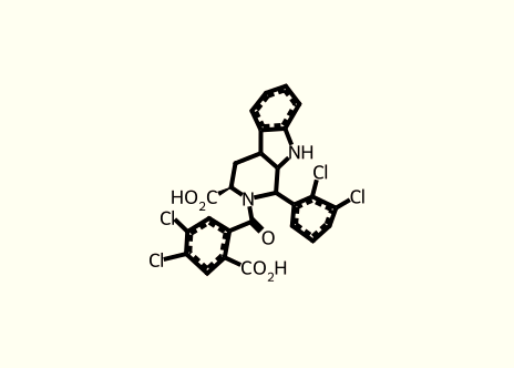 O=C(O)c1cc(Cl)c(Cl)cc1C(=O)N1C(c2cccc(Cl)c2Cl)C2Nc3ccccc3C2C[C@@H]1C(=O)O